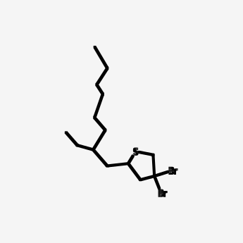 CCCCCCC(CC)CC1CC(Br)(Br)CS1